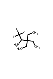 CCC(CC)(CC)C(P)C(F)(F)F